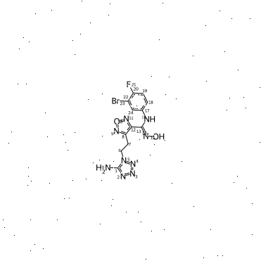 Nc1nnnn1CCc1nonc1/C(=N/O)Nc1ccc(F)c(Br)c1